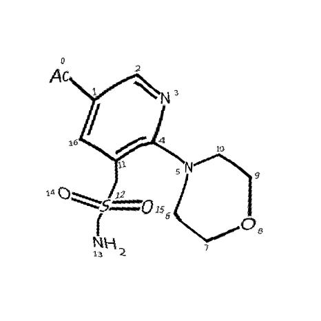 CC(=O)c1cnc(N2CCOCC2)c(S(N)(=O)=O)c1